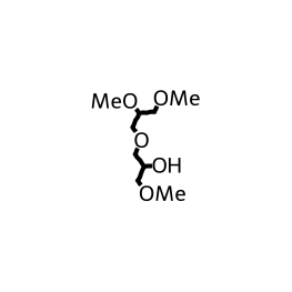 COCC(O)COCC(COC)OC